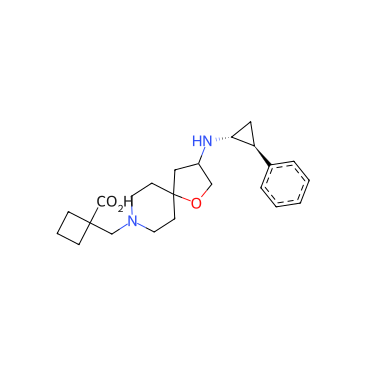 O=C(O)C1(CN2CCC3(CC2)CC(N[C@@H]2C[C@H]2c2ccccc2)CO3)CCC1